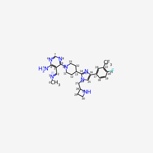 C/N=C/c1c(N)ncnc1N1CCC(c2nc(-c3ccc(F)c(C(F)(F)F)c3)cn2CC2CCN2)CC1